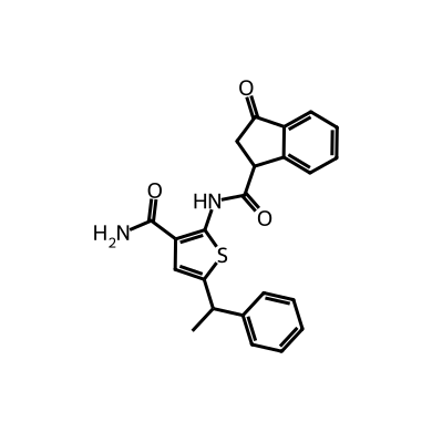 CC(c1ccccc1)c1cc(C(N)=O)c(NC(=O)C2CC(=O)c3ccccc32)s1